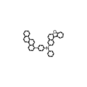 c1ccc(N(c2ccc(-c3cccc4c3ccc3c5ccccc5ccc43)cc2)c2ccc3c(ccc4oc5ccccc5c43)c2)cc1